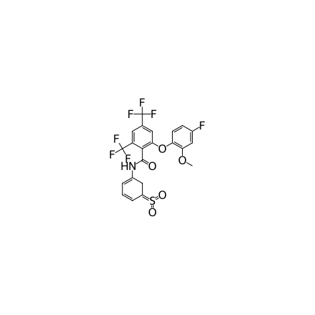 COc1cc(F)ccc1Oc1cc(C(F)(F)F)cc(C(F)(F)F)c1C(=O)NC1=CC=CC(=S(=O)=O)C1